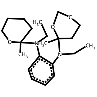 CCN(c1ccccc1N(CC)C1(C)CCCCO1)C1(C)CCCCO1